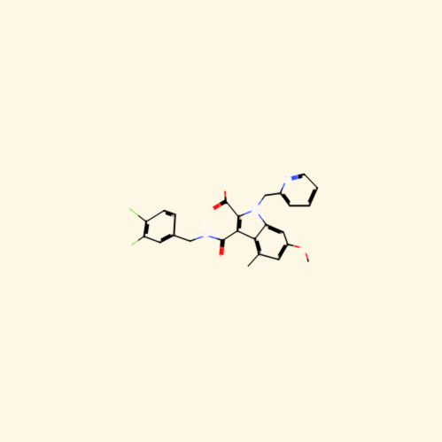 COc1cc(C)c2c(C(=O)NCc3ccc(F)c(F)c3)c(C(=O)O)n(Cc3ccccn3)c2c1